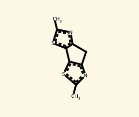 Cc1nc2c(s1)-c1sc(C)nc1C2